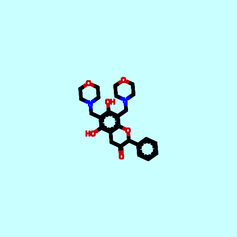 O=C1Cc2c(O)c(CN3CCOCC3)c(O)c(CN3CCOCC3)c2OC1c1ccccc1